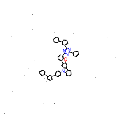 c1ccc(-c2cccc(-c3ccc(-n4c5ccccc5c5cc6oc7c(-c8nc(-c9ccccc9)nc(-c9cccc(-c%10ccccc%10)c9)n8)cccc7c6cc54)cc3)c2)cc1